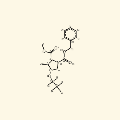 COC(=O)[C@H]1[C@H](C)[C@@H](O[Si](C)(C)C(C)(C)C)CN1C(=O)OCc1ccccc1